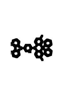 Cc1ccc2c(c1)C(c1ccccc1)(c1ccccc1)c1cc(C)ccc1N2c1ccc(-n2c3cccnc3c3ncccc32)cn1